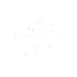 CCOP(=S)(CC)Sc1ccccc1.CCOP(=S)(OCC)Oc1ccc([S+](C)[O-])cc1